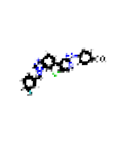 O=C(O)C1CCC(Nc2cc(-c3ccc4ncn(Cc5cccc(F)c5)c4c3)c(Cl)cn2)CC1